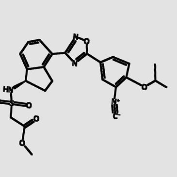 [C-]#[N+]c1cc(-c2nc(-c3cccc4c3CC[C@H]4NS(=O)(=O)CC(=O)OC)no2)ccc1OC(C)C